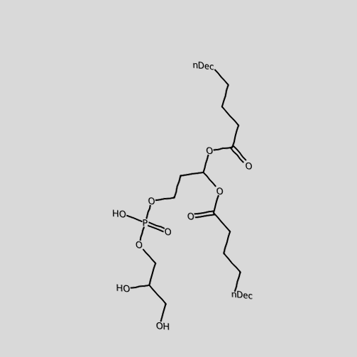 CCCCCCCCCCCCCC(=O)OC(CCOP(=O)(O)OCC(O)CO)OC(=O)CCCCCCCCCCCCC